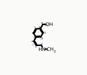 CNC/C=C\c1ccc(CO)cc1